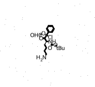 CC(C)(C)OC(=O)N[C@@H](CCCCN)C(=O)C(Cl)(O[C]=O)c1ccccc1